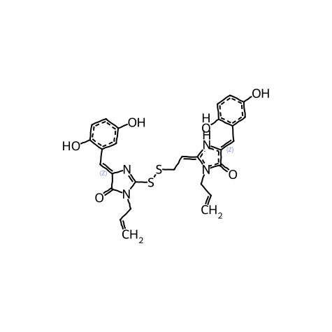 C=CCN1C(=O)/C(=C/c2cc(O)ccc2O)N=C1SSCC=c1[nH]/c(=C\c2cc(O)ccc2O)c(=O)n1CC=C